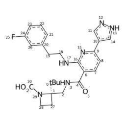 CC(C)(C)[C@]1(CNC(=O)c2ccc(-c3cn[nH]c3)nc2NCCc2cccc(F)c2)CCN1C(=O)O